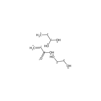 C=CC(=O)O.CCC(O)O.OCCO